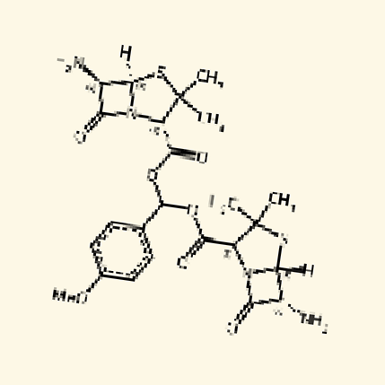 COc1ccc(C(OC(=O)[C@@H]2N3C(=O)[C@@H](N)[C@H]3SC2(C)C)OC(=O)[C@@H]2N3C(=O)[C@@H](N)[C@H]3SC2(C)C)cc1